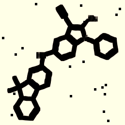 C#Cc1c([C@H](C)CC)n(-c2ccccc2)c2ccc(Nc3ccc4c(c3)C(C)(C)C3C=CC=CC43)cc12